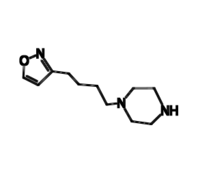 c1cc(CCCCN2CCNCC2)no1